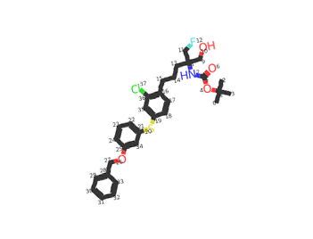 CC(C)(C)OC(=O)NC(CO)(CF)CCCc1ccc(Sc2cccc(OCc3ccccc3)c2)cc1Cl